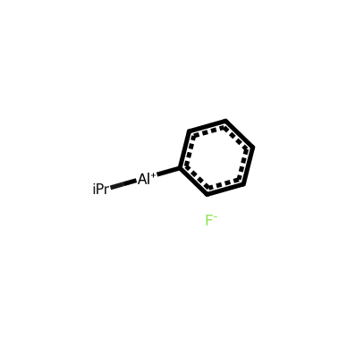 C[CH](C)[Al+][c]1ccccc1.[F-]